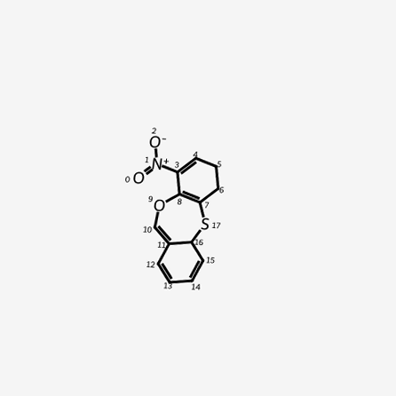 O=[N+]([O-])C1=CCCC2=C1OC=C1C=CC=CC1S2